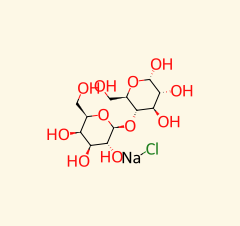 OC[C@H]1O[C@@H](O[C@H]2[C@H](O)[C@@H](O)[C@@H](O)O[C@@H]2CO)[C@H](O)[C@@H](O)[C@H]1O.[Na][Cl]